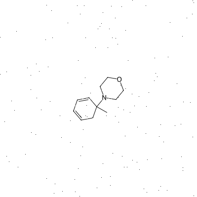 CC1(N2CCOCC2)C=CC=CC1